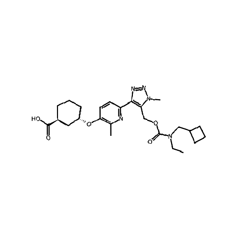 CCN(CC1CCC1)C(=O)OCc1c(-c2ccc(O[C@H]3CCC[C@H](C(=O)O)C3)c(C)n2)nnn1C